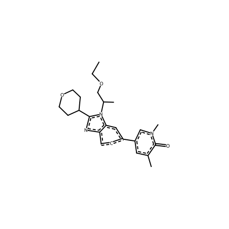 CCOCC(C)n1c(C2CCOCC2)nc2ccc(-c3cc(C)c(=O)n(C)c3)cc21